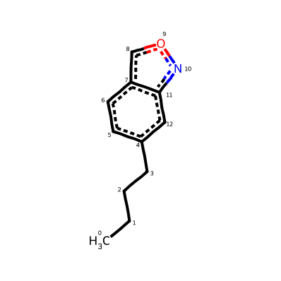 CCCCc1ccc2conc2c1